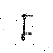 CCCCCCCCC(CCCCCC)C(=O)OCCCCCCCCCCCSCC(CCCCCC)OC(=O)CC1CCCCCC1